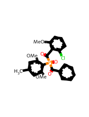 COc1cccc(Cl)c1C(=O)P(=O)(C(=O)c1ccccc1)c1c(OC)cc(C)cc1OC